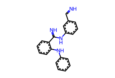 N=Cc1cccc(NC(=N)c2ccccc2Nc2ccccc2)c1